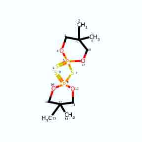 CC1(C)COP(=S)(SP2(=S)OCC(C)(C)CO2)OC1